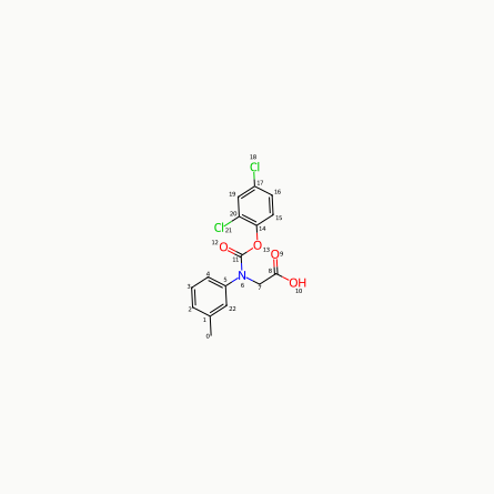 Cc1cccc(N(CC(=O)O)C(=O)Oc2ccc(Cl)cc2Cl)c1